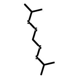 CC(C)SSCSSC(C)C